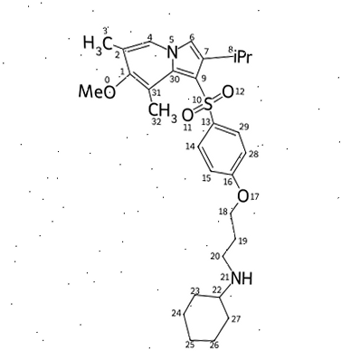 COc1c(C)cn2cc(C(C)C)c(S(=O)(=O)c3ccc(OCCCNC4CCCCC4)cc3)c2c1C